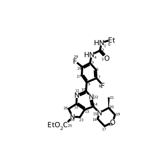 CCNC(=O)Nc1cc(F)c(-c2nc3c(c(N4CCOC[C@@H]4C)n2)CN(C(=O)OCC)C3)cc1F